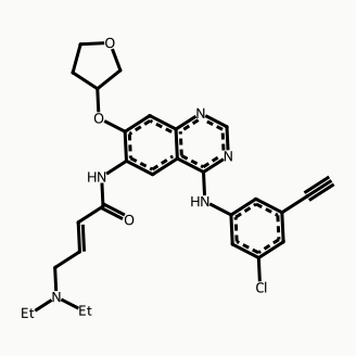 C#Cc1cc(Cl)cc(Nc2ncnc3cc(OC4CCOC4)c(NC(=O)C=CCN(CC)CC)cc23)c1